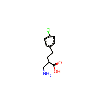 NCC(CCc1ccc(Cl)cc1)C(=O)O